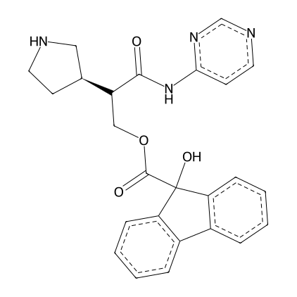 O=C(Nc1ccncn1)C(COC(=O)C1(O)c2ccccc2-c2ccccc21)[C@H]1CCNC1